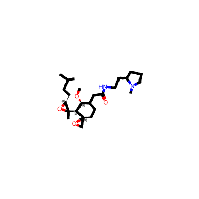 CO[C@@H]1C(CC(=O)NCCC2CCCN2C)CC[C@]2(CO2)[C@H]1C1(C)O[C@@H]1CCC(C)C